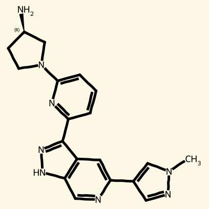 Cn1cc(-c2cc3c(-c4cccc(N5CC[C@@H](N)C5)n4)n[nH]c3cn2)cn1